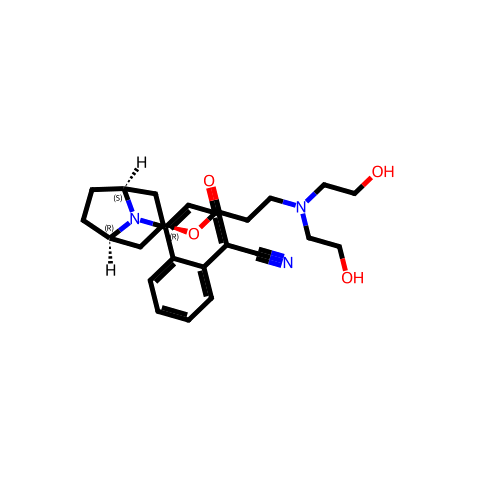 N#Cc1ccc(N2[C@@H]3CC[C@H]2C[C@@H](OC(=O)CCN(CCO)CCO)C3)c2ccccc12